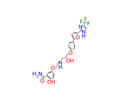 NC(=O)c1cc(OCCNCC(O)COc2ccc(-c3ccc(-c4nc(C(F)(F)F)c[nH]4)o3)cc2)ccc1O